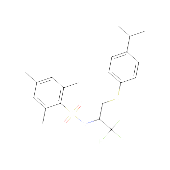 Cc1cc(C)c(S(=O)(=O)NC(CSc2ccc(C(C)C)cc2)C(F)(F)F)c(C)c1